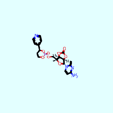 C=C1N=C(N)C=CN1[C@@H]1O[C@](C)(COP2(=O)OCCC(c3ccncc3)O2)[C@H]2OC(=O)O[C@@H]12